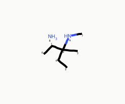 CCC(C)(CC)NC.N